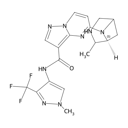 CC1NCC2C[C@@H]1N2c1ccn2ncc(C(=O)Nc3cn(C)nc3C(F)(F)F)c2n1